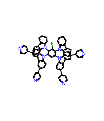 Fc1c(-n2c3ccccc3c3ccccc32)c(-n2c3ccc(-c4ccncc4)cc3c3cc(-c4ccncc4)ccc32)cc(-n2c3ccc(-c4ccncc4)cc3c3cc(-c4ccncc4)ccc32)c1-n1c2ccccc2c2ccccc21